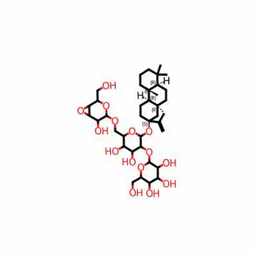 C=C1C[C@@]23CC[C@@H]4C(C)(C)CCC[C@@]4(C)[C@@H]2CC[C@]1(OC1OC(COC2OC(CO)C4OC4C2O)C(O)C(O)C1OC1OC(CO)C(O)C(O)C1O)C3